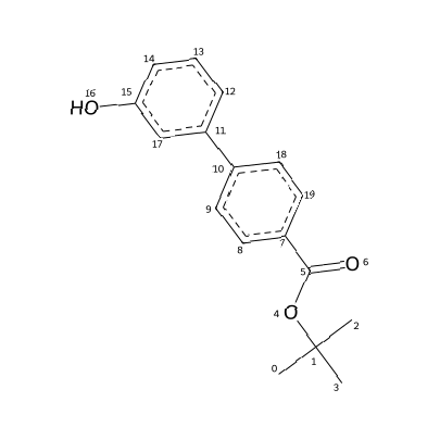 CC(C)(C)OC(=O)c1ccc(-c2cccc(O)c2)cc1